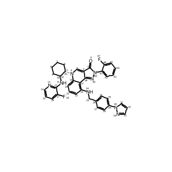 O=c1c2cn([C@H]3CCCC[C@@H]3Nc3ncccc3F)c3cccc(NCc4ccc(-n5cccn5)cc4)c3c-2nn1-c1ccccc1F